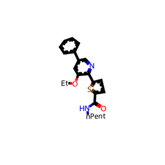 CCCCCNC(=O)c1ccc(-c2ncc(-c3ccccc3)cc2OCC)s1